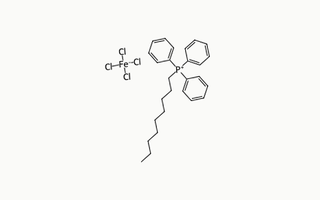 CCCCCCCCC[P+](c1ccccc1)(c1ccccc1)c1ccccc1.[Cl][Fe-]([Cl])([Cl])[Cl]